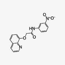 O=C(COc1cccc2cccnc12)Nc1cccc([N+](=O)[O-])c1